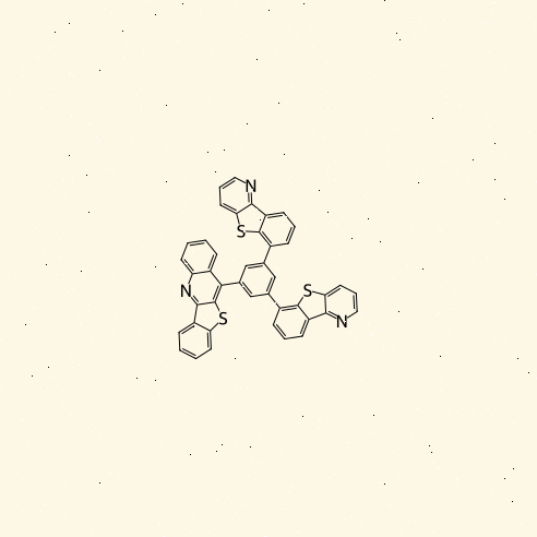 c1ccc2c(-c3cc(-c4cccc5c4sc4cccnc45)cc(-c4cccc5c4sc4cccnc45)c3)c3sc4ccccc4c3nc2c1